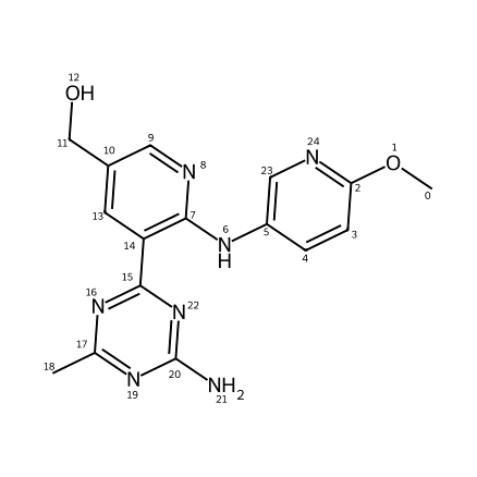 COc1ccc(Nc2ncc(CO)cc2-c2nc(C)nc(N)n2)cn1